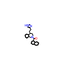 O=C(c1cccc2ccccc12)N1CCC(CCc2c[nH]cn2)c2ccccc2C1